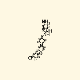 Nc1ccc2[nH]c(NCc3ccc(N4CCC(Oc5ccc(Cl)cc5)CC4)cc3)nc2c1